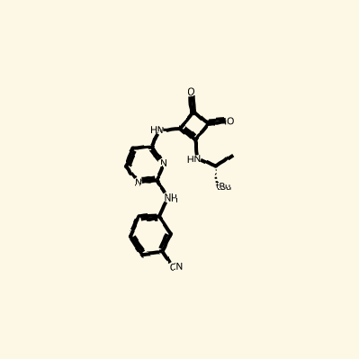 C[C@@H](Nc1c(Nc2ccnc(Nc3cccc(C#N)c3)n2)c(=O)c1=O)C(C)(C)C